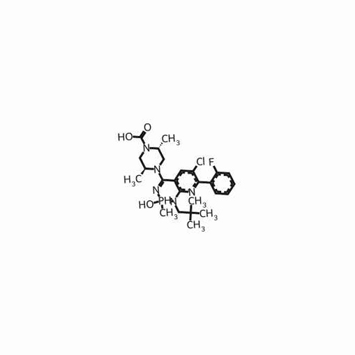 C[C@@H]1CN(C2=N[PH](C)(O)N(CC(C)(C)C)c3nc(-c4ccccc4F)c(Cl)cc32)[C@@H](C)CN1C(=O)O